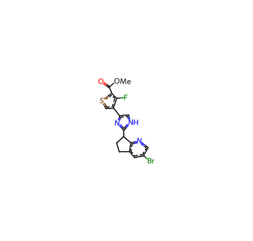 COC(=O)c1scc(-c2c[nH]c(C3CCc4cc(Br)cnc43)n2)c1F